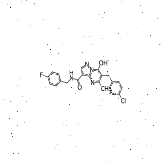 Cc1nc2c(C(=O)NCc3ccc(F)cc3)cnn2c(O)c1Cc1ccc(Cl)cc1